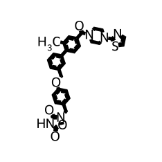 Cc1cc(C(=O)N2CCN(c3nccs3)CC2)ccc1-c1cccc(COc2ccc(Cn3oc(=O)[nH]c3=O)cc2)c1